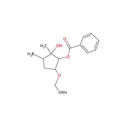 BC1CC(OCOC)C(OC(=O)c2ccccc2)C1(C)O